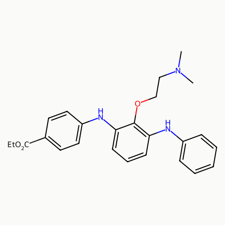 CCOC(=O)c1ccc(Nc2cccc(Nc3ccccc3)c2OCCN(C)C)cc1